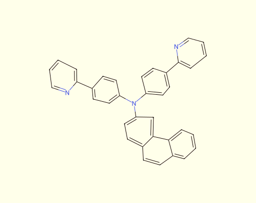 c1ccc(-c2ccc(N(c3ccc(-c4ccccn4)cc3)c3ccc4ccc5ccccc5c4c3)cc2)nc1